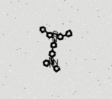 c1ccc(-c2ccc3c(c2)Oc2cc(-c4ccccc4)ccc2N3c2ccc(-c3ccc(-n4c5ccccc5n5c6ccccc6nc45)cc3)cc2)cc1